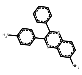 Nc1ccc(-c2nc3cc(N)ccc3nc2-c2ccccc2)cc1